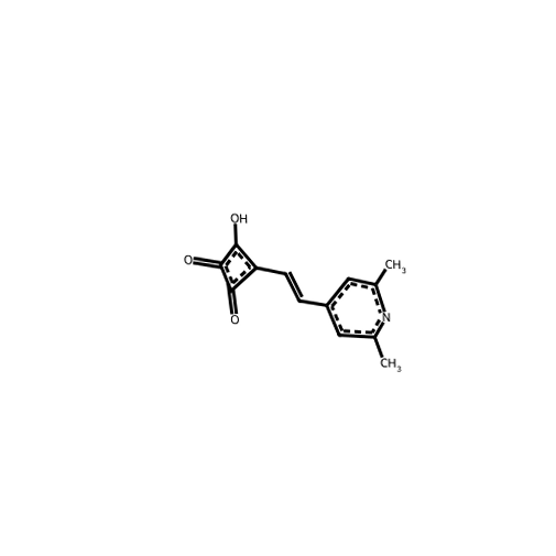 Cc1cc(/C=C/c2c(O)c(=O)c2=O)cc(C)n1